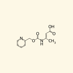 CC(=CC(=O)O)NC(=O)OCc1ccccn1